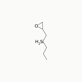 CCC[SiH2]CC1CO1